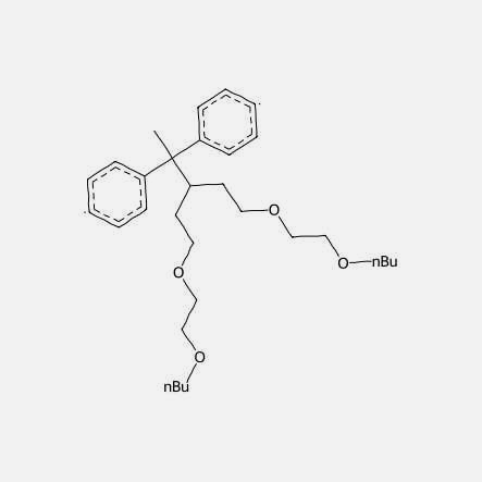 CCCCOCCOCCC(CCOCCOCCCC)C(C)(c1cc[c]cc1)c1cc[c]cc1